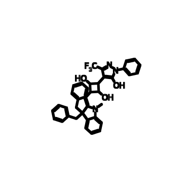 CN1C(=CC2C(O)C(c3c(C(F)(F)F)nn(-c4ccccc4)c3O)C2O)C(Cc2ccccc2)(Cc2ccccc2)c2ccccc21